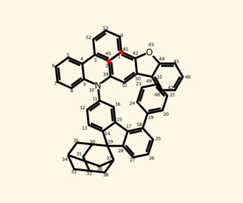 c1ccc(-c2ccccc2N(c2ccc3c(c2)-c2c(-c4ccccc4)cccc2C32C3CC4CC(C3)CC2C4)c2ccc3oc4ccccc4c3c2)cc1